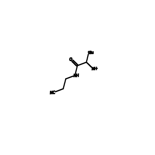 CC(C)(C)C([NH])C(=O)NCCC#N